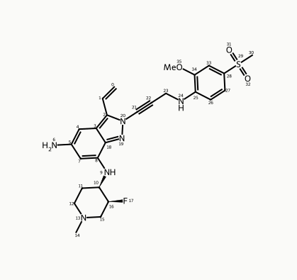 C=Cc1c2cc(N)cc(N[C@@H]3CCN(C)C[C@@H]3F)c2nn1C#CCNc1ccc(S(C)(=O)=O)cc1OC